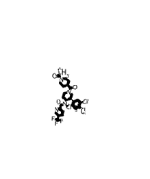 CC(=O)N1CCC(C(=O)N2CC[C@@H](N(C)C(=O)c3ccc(C(F)(F)F)cn3)[C@H](c3ccc(Cl)c(Cl)c3)C2)CC1